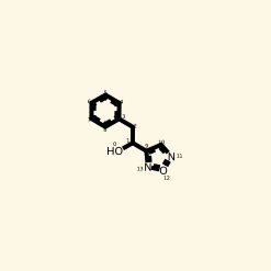 OC(Cc1ccccc1)c1cnon1